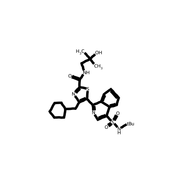 CC(C)(O)CNC(=O)c1nc(CC2CCCCC2)c(-c2ncc(S(=O)(=O)NC(C)(C)C)c3ccccc23)s1